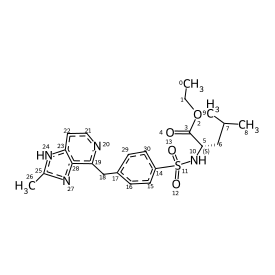 CCOC(=O)[C@H](CC(C)C)NS(=O)(=O)c1ccc(Cc2nccc3[nH]c(C)nc23)cc1